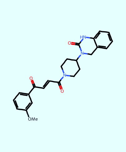 COc1cccc(C(=O)C=CC(=O)N2CCC(N3Cc4ccccc4NC3=O)CC2)c1